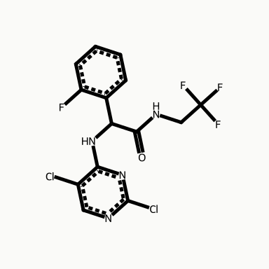 O=C(NCC(F)(F)F)C(Nc1nc(Cl)ncc1Cl)c1ccccc1F